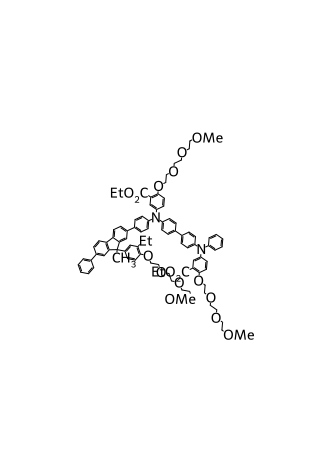 CCOC(=O)c1cc(N(c2ccccc2)c2ccc(-c3ccc(N(c4ccc(-c5ccc6c(c5)C(C)(c5ccc(OCCOCCOCCOC)c(CC)c5)c5cc(-c7ccccc7)ccc5-6)cc4)c4ccc(OCCOCCOCCOC)c(C(=O)OCC)c4)cc3)cc2)ccc1OCCOCCOCCOC